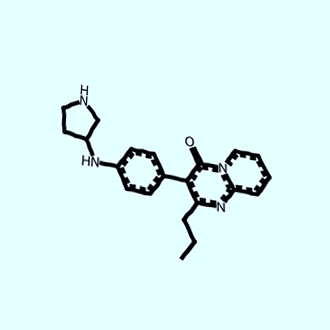 CCCc1nc2ccccn2c(=O)c1-c1ccc(NC2CCNC2)cc1